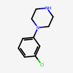 Clc1cccc(N2C[CH]NCC2)c1